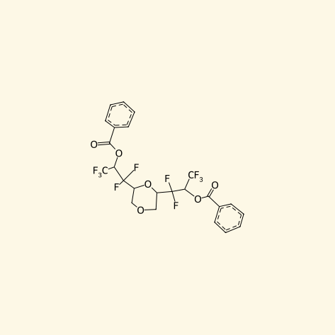 O=C(OC(C(F)(F)F)C(F)(F)C1COCC(C(F)(F)C(OC(=O)c2ccccc2)C(F)(F)F)O1)c1ccccc1